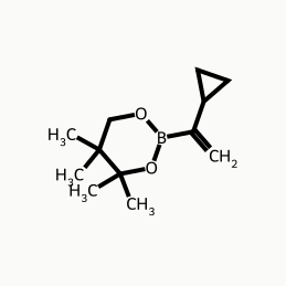 C=C(B1OCC(C)(C)C(C)(C)O1)C1CC1